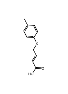 Cc1ccc(SCC=CC(=O)O)cc1